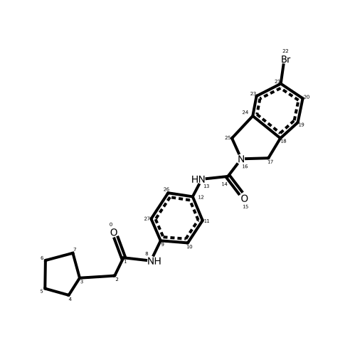 O=C(CC1CCCC1)Nc1ccc(NC(=O)N2Cc3ccc(Br)cc3C2)cc1